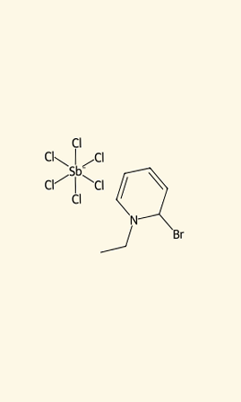 CCN1C=CC=CC1Br.[Cl][Sb-]([Cl])([Cl])([Cl])([Cl])[Cl]